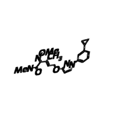 CNC(=O)C(=N/OC)/C(C)=C/COc1ccn(-c2cccc(C3CC3)c2)n1